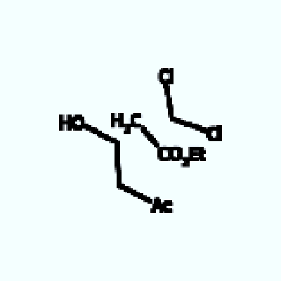 CC(=O)CCO.CCOC(C)=O.ClCCl